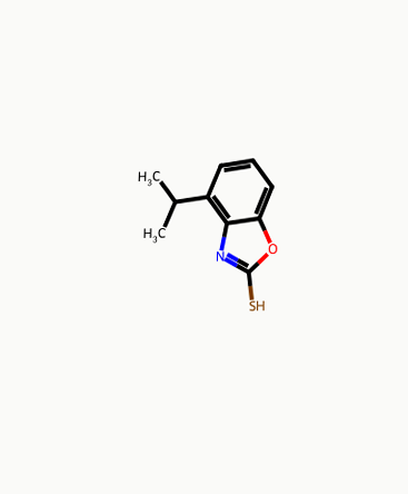 CC(C)c1cccc2oc(S)nc12